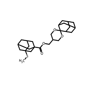 CSC12CC3CC(C1)CC(C(=O)OCC1COC4(OC1)C1CC5CC(C1)CC4C5)(C3)C2